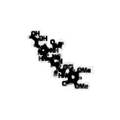 C=CC(=O)Nc1cn(C[C@H](O)CO)nc1Nc1cc(N(C)C(=O)Nc2c(Cl)c(OC)cc(OC)c2Cl)ncn1